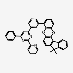 CC1(C)c2ccccc2-c2c1ccc1c2Oc2cccc(-c3cccc(-c4cc(-c5ccccc5)nc(-c5ccccn5)n4)c3)c2O1